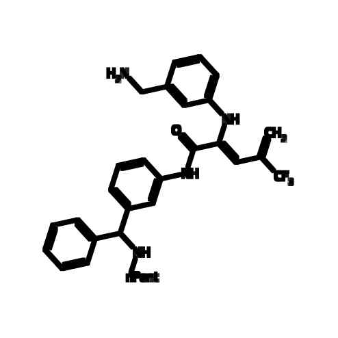 C=C(/C=C(\Nc1cccc(CN)c1)C(=O)Nc1cccc(C(NCCCCC)c2ccccc2)c1)C(F)(F)F